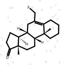 C[C@]12CCCCC1=C(CF)C[C@@H]1[C@H]2CC[C@]2(C)C(=O)CC[C@@H]12